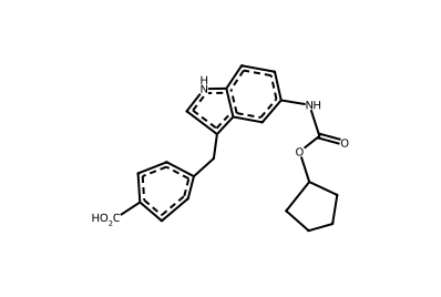 O=C(Nc1ccc2[nH]cc(Cc3ccc(C(=O)O)cc3)c2c1)OC1CCCC1